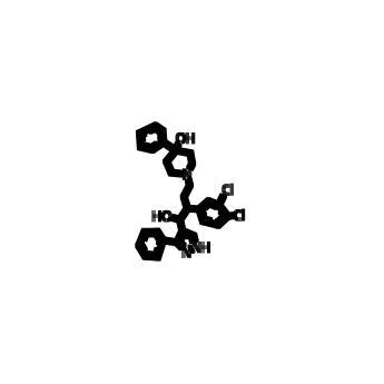 OC(c1c[nH]nc1-c1ccccc1)C(CCN1CCC(O)(c2ccccc2)CC1)c1ccc(Cl)c(Cl)c1